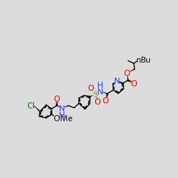 CCCCC(C)COC(=O)c1ccc(C(=O)NS(=O)(=O)c2ccc(CCNC(=O)c3cc(Cl)ccc3OC)cc2)cn1